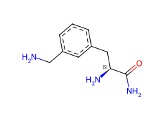 NCc1cccc(C[C@H](N)C(N)=O)c1